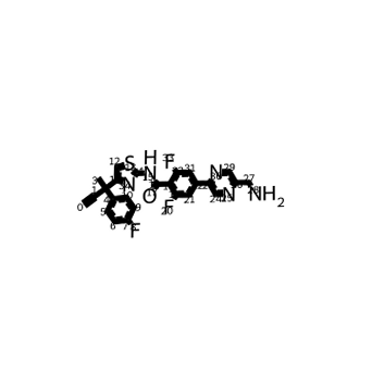 C#CC(C)(c1ccc(F)cc1)c1csc(NC(=O)c2c(F)cc(-c3cnc(CN)cn3)cc2F)n1